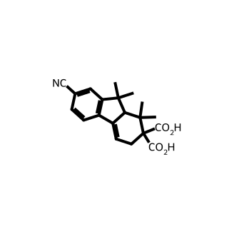 CC1(C)c2cc(C#N)ccc2C2=CCC(C(=O)O)(C(=O)O)C(C)(C)C21